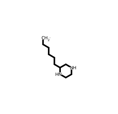 [CH2]CCCCCC1CNCCN1